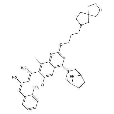 C/C(=C\C(O)=C/c1ccccc1C)c1c(Cl)cc2c(N3CC4CCC(C3)N4)nc(OCCCN3CCC4(CCOC4)C3)nc2c1F